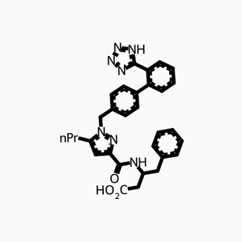 CCCc1cc(C(=O)NC(CC(=O)O)Cc2ccccc2)nn1Cc1ccc(-c2ccccc2-c2nnn[nH]2)cc1